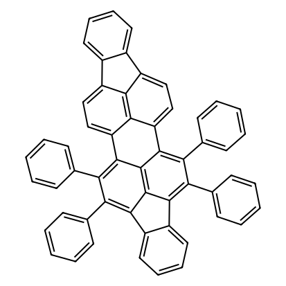 c1ccc(-c2c3c4c(c(-c5ccccc5)c(-c5ccccc5)c5c6ccc7c8c(ccc(c(c2-c2ccccc2)c45)c86)-c2ccccc2-7)-c2ccccc2-3)cc1